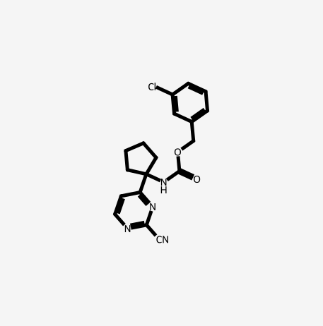 N#Cc1nccc(C2(NC(=O)OCc3cccc(Cl)c3)CCCC2)n1